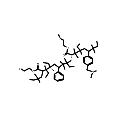 CCC(C)(C)CC(C(=O)OCCCl)C(C)(CC)[C@@](C)(CC)CC(c1ccccc1)C(C)(C)C(C)(CC)C[C@H](C(=O)OCCOC)C(C)(C)C(C)(CC)CC(c1ccc(CN(C)C)cc1)C(C)(C)CC